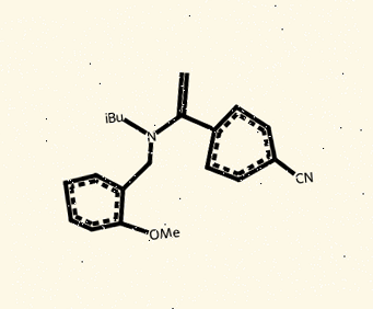 C=C(c1ccc(C#N)cc1)N(Cc1ccccc1OC)C(C)CC